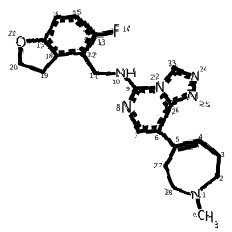 CN1CCC=C(c2cnc(NCc3c(F)ccc4c3CCO4)n3cnnc23)CC1